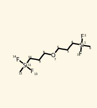 C[Si](F)(F)CCCOCCC[Si](C)(F)F